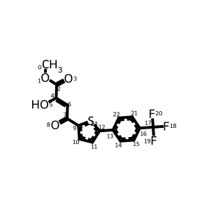 COC(=O)/C(O)=C/C(=O)c1ccc(-c2ccc(C(F)(F)F)cc2)s1